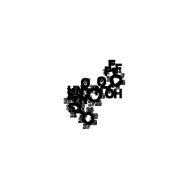 O=C(C(O)c1cccc(C(F)(F)F)c1)N1CCCc2nc(C3(c4cc(C5CCCCC5)cs4)CC3)[nH]c(=O)c2C1